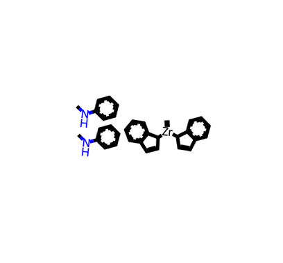 CNc1ccccc1.CNc1ccccc1.[CH2]=[Zr]([CH]1C=Cc2ccccc21)[CH]1C=Cc2ccccc21